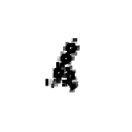 COc1ccc2nc(-c3ccc(-c4ccc(F)cc4)cc3)n(CC3CCN(C(=O)C4CC4)C3)c2c1